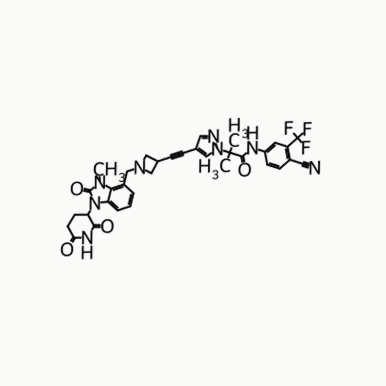 Cn1c(=O)n(C2CCC(=O)NC2=O)c2cccc(CN3CC(C#Cc4cnn(C(C)(C)C(=O)Nc5ccc(C#N)c(C(F)(F)F)c5)c4)C3)c21